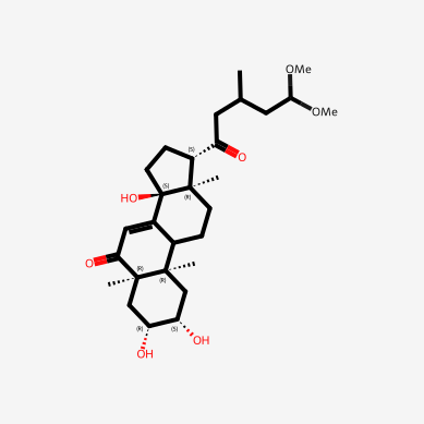 COC(CC(C)CC(=O)[C@H]1CC[C@@]2(O)C3=CC(=O)[C@]4(C)C[C@@H](O)[C@@H](O)C[C@]4(C)C3CC[C@]12C)OC